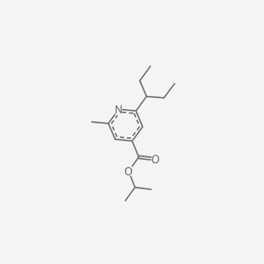 CCC(CC)c1cc(C(=O)OC(C)C)cc(C)n1